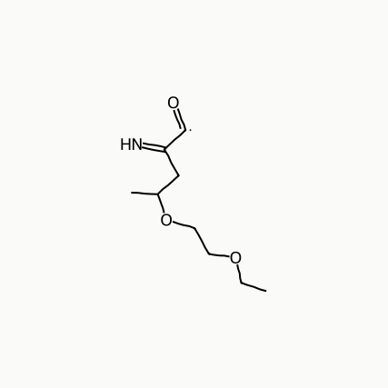 CCOCCOC(C)CC(=N)[C]=O